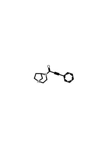 O=C(C#Cc1ccccc1)N1CCN2CCC1C2